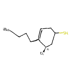 CCC(C)CCCC1=CCC(S)C[C@H]1CC